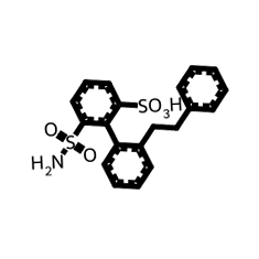 NS(=O)(=O)c1cccc(S(=O)(=O)O)c1-c1ccccc1CCc1ccccc1